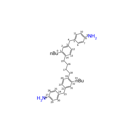 CCCCc1cc(Cc2ccc(N)cc2)ccc1CCCCc1ccc(Cc2ccc(N)cc2)cc1CCCC